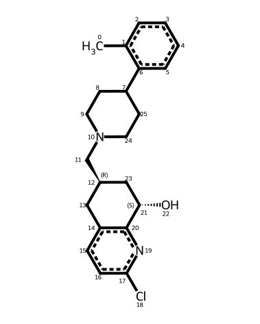 Cc1ccccc1C1CCN(C[C@@H]2Cc3ccc(Cl)nc3[C@@H](O)C2)CC1